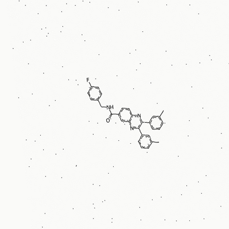 Cc1cccc(-c2nc3ccc(C(=O)NCc4ccc(F)cc4)cc3nc2-c2cccc(C)c2)c1